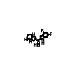 Cl.O=C(c1cc2c(F)cc(F)cc2[nH]1)N1C[C@H]2CCCN[C@H]2C1